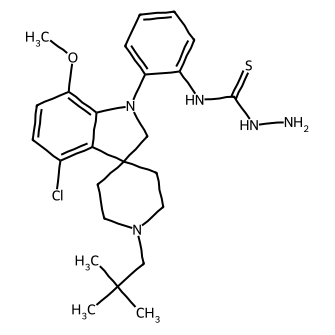 COc1ccc(Cl)c2c1N(c1ccccc1NC(=S)NN)CC21CCN(CC(C)(C)C)CC1